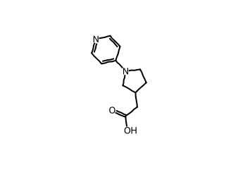 O=C(O)CC1CCN(c2ccncc2)C1